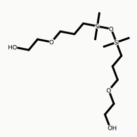 C[Si](C)(CCCOCCO)O[Si](C)(C)CCCOCCO